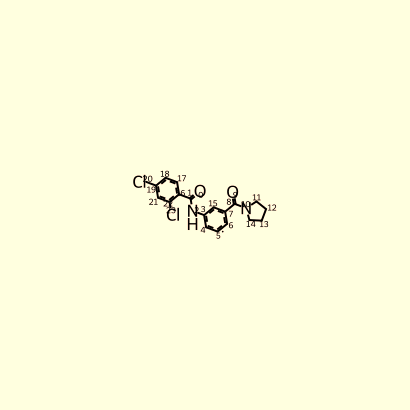 O=C(Nc1c[c]cc(C(=O)N2CCCC2)c1)c1ccc(Cl)cc1Cl